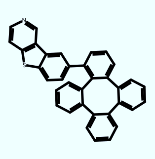 c1ccc2c(c1)-c1ccccc1-c1cccc(-c3ccc4sc5ccncc5c4c3)c1-c1ccccc1-2